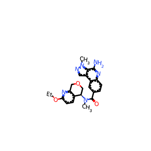 CCOc1ccc2c(n1)COC[C@H]2N(C)C(=O)c1ccc2nc(N)c3c(cnn3C)c2c1